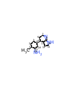 Cc1ccc(-c2ccnc3[nH]ccc23)cc1N